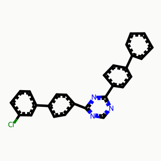 Clc1cccc(-c2ccc(-c3ncnc(-c4ccc(-c5ccccc5)cc4)n3)cc2)c1